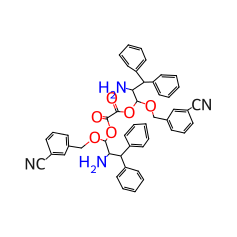 N#Cc1cccc(COC(OC(=O)C(=O)OC(OCc2cccc(C#N)c2)C(N)C(c2ccccc2)c2ccccc2)C(N)C(c2ccccc2)c2ccccc2)c1